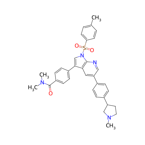 Cc1ccc(S(=O)(=O)n2cc(-c3ccc(C(=O)N(C)C)cc3)c3cc(-c4ccc(C5CCN(C)C5)cc4)cnc32)cc1